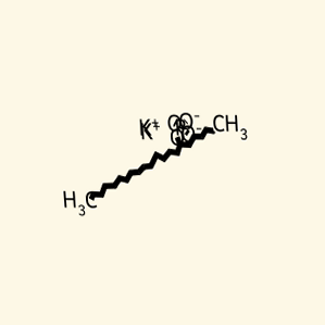 CCCCCCCCCCCCCCCC(CCCCCC)OP(=O)([O-])[O-].[K+].[K+]